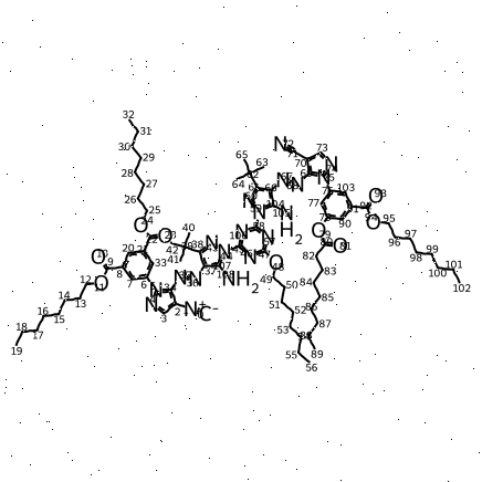 [C-]#[N+]c1cnn(-c2cc(C(=O)OCCCCCCCC)cc(C(=O)OCCCCCCCC)c2)c1N=Nc1c(C(C)(C)C)nn(-c2nc(OCCCCCCCC)nc(-n3nc(C(C)(C)C)c(N=Nc4c(C#N)cnn4-c4cc(OC(=O)CCCCCCCC)cc(C(=O)OCCCCCCCC)c4)c3N)n2)c1N